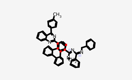 C=N/C(=N\C(=N/Cc1ccccc1)c1ccccc1)c1cccc(-c2ccccc2-c2ccccc2-c2cccc(-c3nc(-c4ccc(C)cc4)c4ccccc4n3)c2)c1